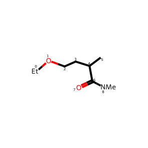 CCOCCC(C)C(=O)NC